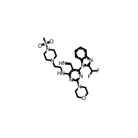 CS(=O)(=O)N1CCN(CCNc2nc(N3CCOCC3)nc(-n3c(C(F)F)nc4ccccc43)c2C=N)CC1